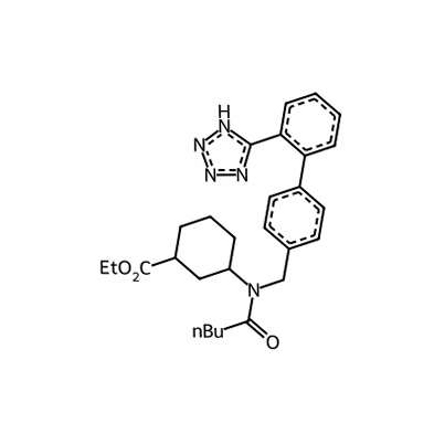 CCCCC(=O)N(Cc1ccc(-c2ccccc2-c2nnn[nH]2)cc1)C1CCCC(C(=O)OCC)C1